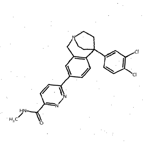 CNC(=O)c1ccc(-c2ccc3c(c2)CN2CCC3(c3ccc(Cl)c(Cl)c3)CC2)nn1